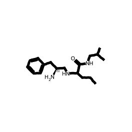 CCCC(NC[C@@H](N)Cc1ccccc1)C(=O)NCC(C)C